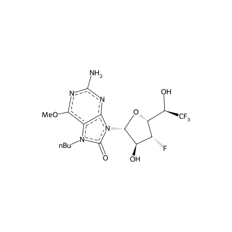 CCCCn1c(=O)n([C@@H]2O[C@H]([C@@H](O)C(F)(F)F)[C@H](F)[C@H]2O)c2nc(N)nc(OC)c21